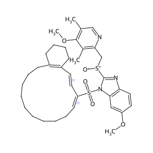 COc1ccc2nc([S+]([O-])Cc3ncc(C)c(OC)c3C)n(S(=O)(=O)C3=C/CCCCCCCCCC4=C(\C=C\3)CCCC4)c2c1